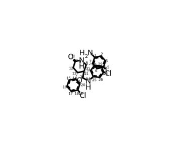 Nc1ccc(I)cc1[C@H]1NC(=O)C[C@@H](c2cccc(Cl)c2)[C@]12C(=O)Nc1cc(Cl)ccc12